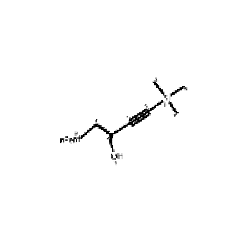 CCCCCCC(O)C#C[Si](C)(C)C